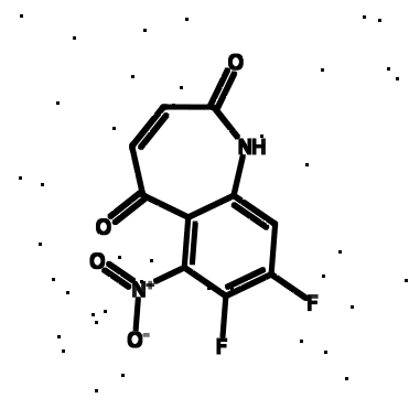 O=c1ccc(=O)c2c([N+](=O)[O-])c(F)c(F)cc2[nH]1